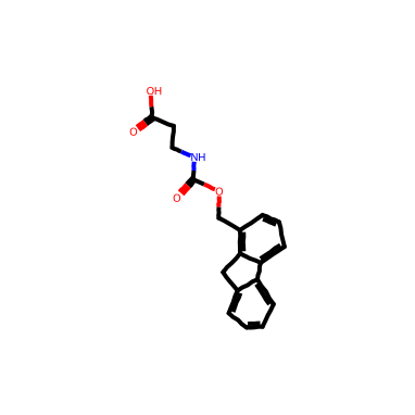 O=C(O)CCNC(=O)OCc1cccc2c1Cc1ccccc1-2